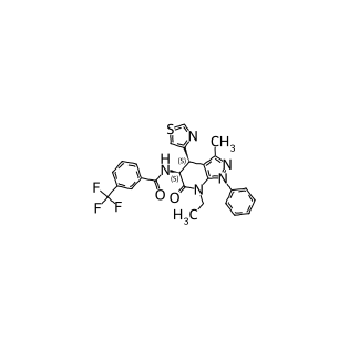 CCN1C(=O)[C@@H](NC(=O)c2cccc(C(F)(F)F)c2)[C@@H](c2cscn2)c2c(C)nn(-c3ccccc3)c21